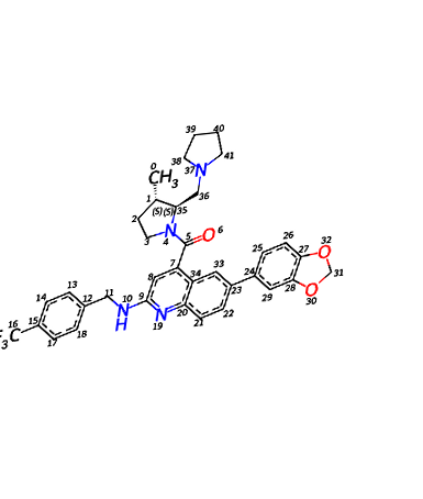 C[C@H]1CCN(C(=O)c2cc(NCc3ccc(C(F)(F)F)cc3)nc3ccc(-c4ccc5c(c4)OCO5)cc23)[C@@H]1CN1CCCC1